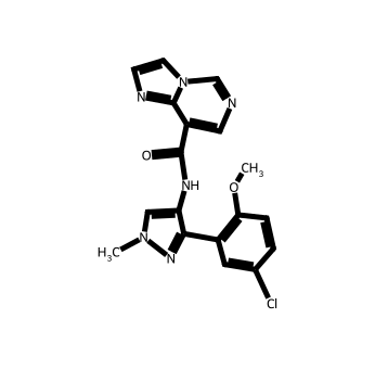 COc1ccc(Cl)cc1-c1nn(C)cc1NC(=O)c1cncn2ccnc12